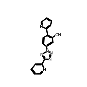 N#Cc1cc(-n2nnc(-c3ccccn3)n2)ccc1-c1ccccn1